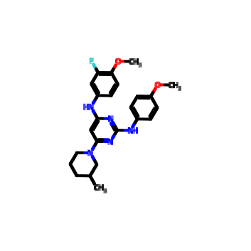 COc1ccc(Nc2nc(Nc3ccc(OC)c(F)c3)cc(N3CCCC(C)C3)n2)cc1